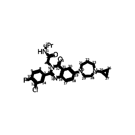 CC(C)NC(=O)Cn1c(-c2ccc(F)c(Cl)c2)nc2ccc(N3CCCN(C4CC4)CC3)cc2c1=O